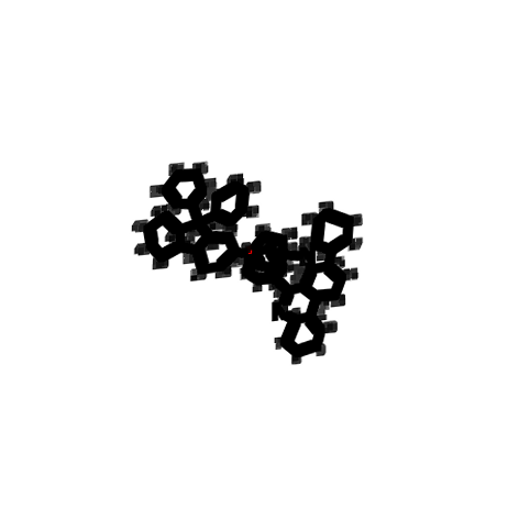 c1ccc(-c2nc3ccccc3c3ccc4c5ccccc5n(-c5ccc(-c6ccc7c(c6)C(c6ccccc6)(c6ccccc6)c6ccccc6-7)cc5)c4c23)cc1